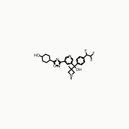 CN1CC(C)(C(O)(c2ccc(C(F)C(F)F)cc2)c2cncc(-c3noc(C4CCC(O)CC4)n3)c2)C1